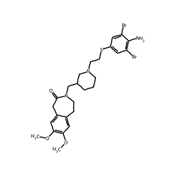 COc1cc2c(cc1OC)CC(=O)N(CC1CCCN(CCSc3cc(Br)c(N)c(Br)c3)C1)CC2